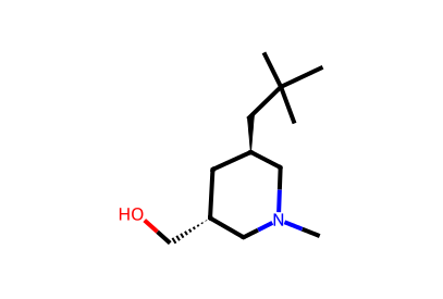 CN1C[C@H](CO)C[C@@H](CC(C)(C)C)C1